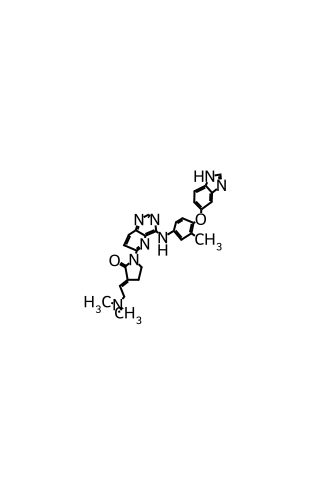 Cc1cc(Nc2ncnc3ccc(N4CC/C(=C\CN(C)C)C4=O)nc23)ccc1Oc1ccc2[nH]cnc2c1